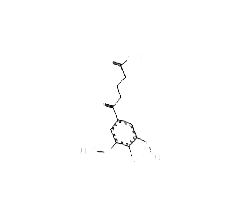 COc1cc(C(=O)CCCC(=O)O)cc(OC)c1Br